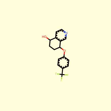 OC1CCC(Oc2ccc(C(F)(F)F)cc2)c2cnccc21